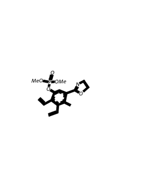 C=Cc1c(OP(=O)(OC)OC)cc(C2=NCCO2)c(C)c1C=C